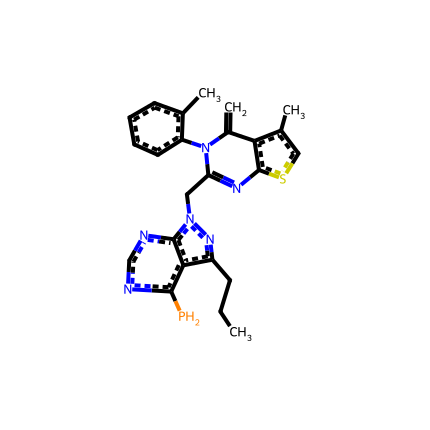 C=C1c2c(C)csc2N=C(Cn2nc(CCC)c3c(P)ncnc32)N1c1ccccc1C